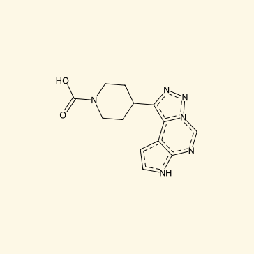 O=C(O)N1CCC(c2nnn3cnc4[nH]ccc4c23)CC1